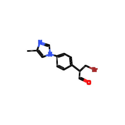 Cc1cn(-c2ccc(C(C=O)CBr)cc2)cn1